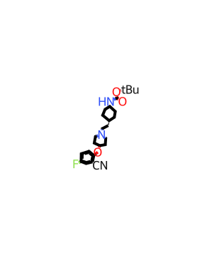 CC(C)(C)OC(=O)N[C@H]1CC[C@H](CCN2CCC(Oc3ccc(F)cc3C#N)CC2)CC1